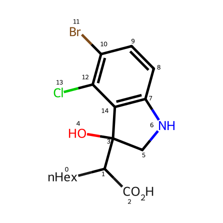 CCCCCCC(C(=O)O)C1(O)CNc2ccc(Br)c(Cl)c21